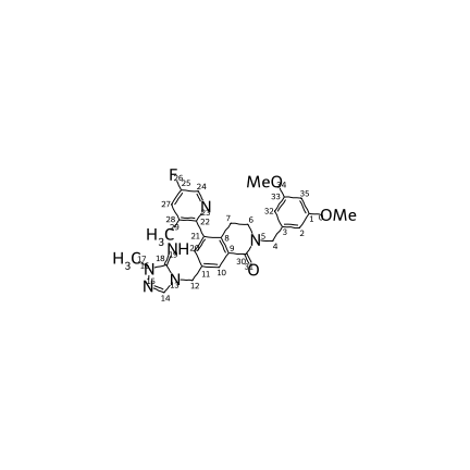 COc1cc(CN2CCc3c(cc(Cn4cnn(C)c4=N)cc3-c3ncc(F)cc3C)C2=O)cc(OC)c1